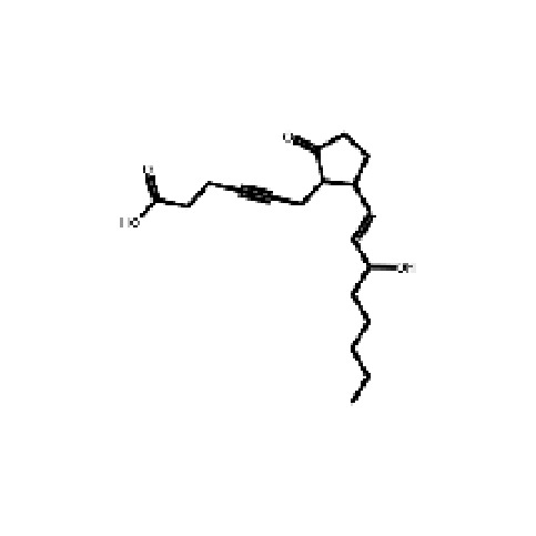 CCCCCC(O)C=CC1CCC(=O)C1CC#CCCC(=O)O